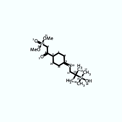 COP(=O)(CC(=O)C1CCC(=NCC(C)(C)[Si](C)(C)O)CC1)OC